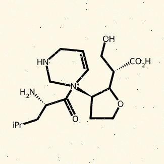 CC(C)C[C@H](N)C(=O)[N+]1([C@@H]2CCOC2[C@H](CO)C(=O)O)C=CCNC1